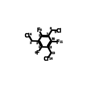 Fc1c(CCl)c(F)c(CCl)c(F)c1CCl